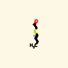 CC/C=C/SC[C]=O